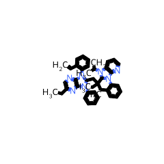 C=Cc1ccccc1N1c2ncc(CC)nc2N(c2ccccc2)C1CC1(CC)C(C)c2ccccc2N2c3ncccc3N(C(C)C)C21